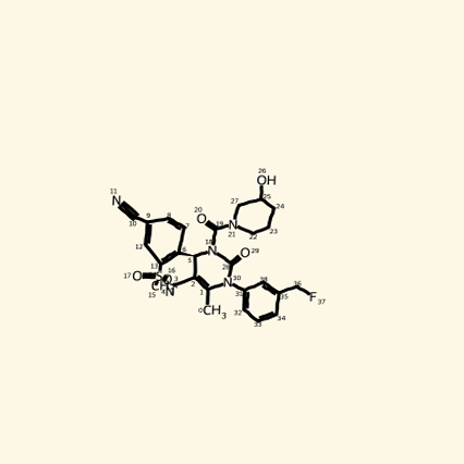 CC1=C(C#N)[C@@H](c2ccc(C#N)cc2S(C)(=O)=O)N(C(=O)N2CCCC(O)C2)C(=O)N1c1cccc(CF)c1